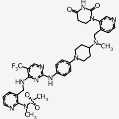 CN(Cc1ccncc1N1CCC(=O)NC1=O)C1CCN(c2ccc(Nc3ncc(C(F)(F)F)c(NCc4cccnc4N(C)S(C)(=O)=O)n3)cc2)CC1